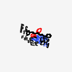 CCC(N(C)C)N(C)C(=O)NC(Cc1c[nH]c2ccccc12)C(=O)CCc1cc(C(F)(F)F)cc(C(F)(F)F)c1